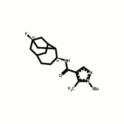 CC(C)(C)n1ncc(C(=O)N[C@H]2CCC3CC4C[C@@](F)(C3)CC42)c1C(F)(F)F